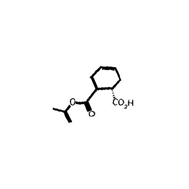 C=C(C)OC(=O)C1CC=CC[C@@H]1C(=O)O